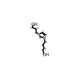 OCCCCN1C=CN(CCCO)C1